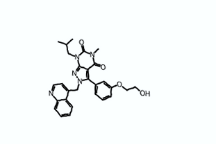 CC(C)Cn1c(=O)n(C)c(=O)c2c(-c3cccc(OCCO)c3)n(Cc3ccnc4ccccc34)nc21